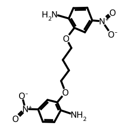 Nc1ccc([N+](=O)[O-])cc1OCCCCOc1cc([N+](=O)[O-])ccc1N